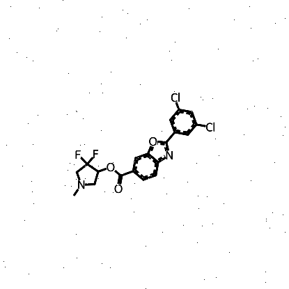 CN1CC(OC(=O)c2ccc3nc(-c4cc(Cl)cc(Cl)c4)oc3c2)C(F)(F)C1